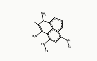 CCNc1cc(NCC)c2cccc3c2c1C(N)=C(C)C3N